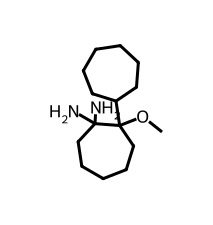 COC1(C2CCCCCC2)CCCCCC1(N)N